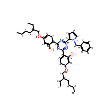 CCCCC(CC)COC1=CCC(c2nc(C3=CCC(OCC(CC)CCCC)C=C3O)nc(-c3cccn3Cc3ccccc3)n2)C(O)=C1